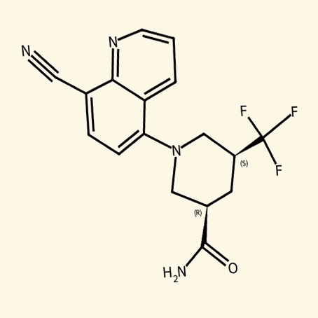 N#Cc1ccc(N2C[C@H](C(N)=O)C[C@H](C(F)(F)F)C2)c2cccnc12